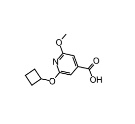 COc1cc(C(=O)O)cc(OC2CCC2)n1